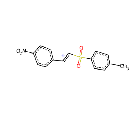 Cc1ccc(S(=O)(=O)/C=C/c2ccc([N+](=O)[O-])cc2)cc1